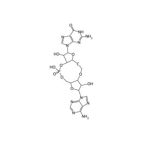 Nc1nc2c(ncn2C2OC3CCOC4C(COP(=O)(O)OC3C2O)OC(n2cnc3c(N)ncnc32)C4O)c(=O)[nH]1